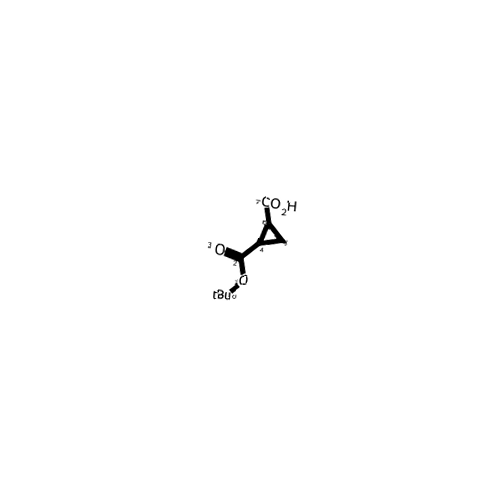 CC(C)(C)OC(=O)C1CC1C(=O)O